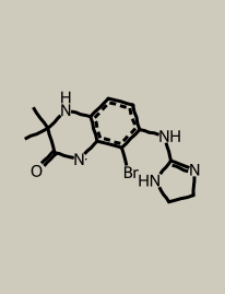 CC1(C)Nc2ccc(NC3=NCCN3)c(Br)c2[N]C1=O